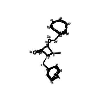 C[C@H]1[C@H](Cc2ccccc2)C(=O)N1OCc1ccccc1